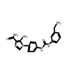 NCc1cccc(NC(=O)Nc2ccc(-n3cnc(C(N)=O)c3N)cc2)c1